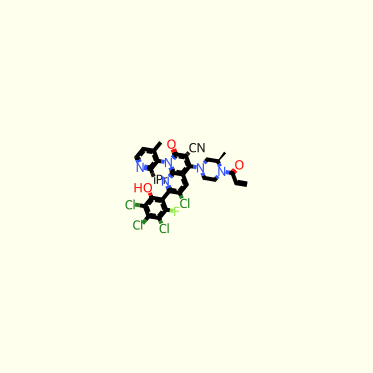 C=CC(=O)N1CCN(c2c(C#N)c(=O)n(-c3c(C)ccnc3C(C)C)c3nc(-c4c(O)c(Cl)c(Cl)c(Cl)c4F)c(Cl)cc23)C[C@H]1C